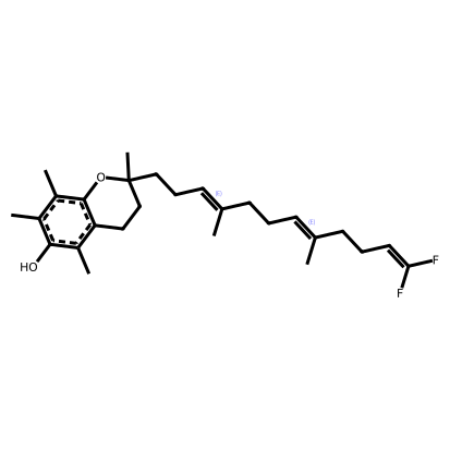 C/C(=C\CC/C(C)=C/CCC1(C)CCc2c(C)c(O)c(C)c(C)c2O1)CCC=C(F)F